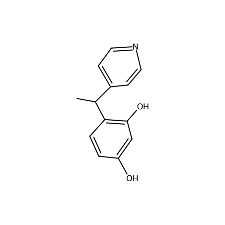 CC(c1ccncc1)c1ccc(O)cc1O